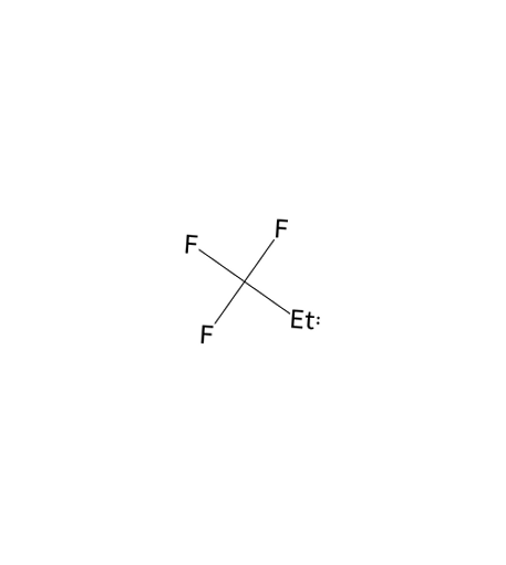 C[C]C(F)(F)F